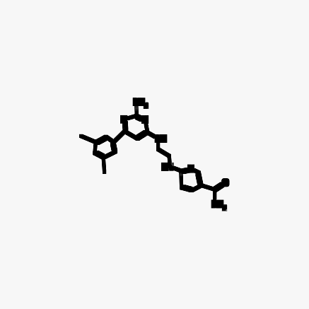 Cc1cc(C)cc(-c2cc(NCCNc3ccc(C(N)=O)cn3)nc(N)n2)c1